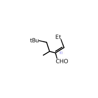 CC/C=C(/C=O)C(C)CC(C)(C)C